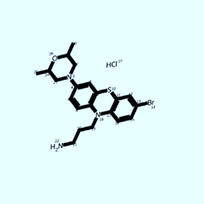 CC1CN(c2ccc3c(c2)Sc2cc(Br)ccc2N3CCCN)CC(C)O1.Cl